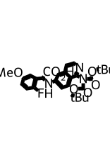 COc1ccc(F)c(C(Nc2ccc3c(N(C(=O)OC(C)(C)C)C(=O)OC(C)(C)C)nccc3c2)C(=O)O)c1